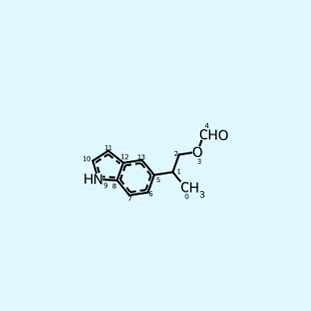 CC(COC=O)c1ccc2[nH]ccc2c1